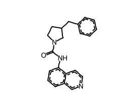 O=C(Nc1cccc2cnccc12)N1CCC(Cc2ccccc2)C1